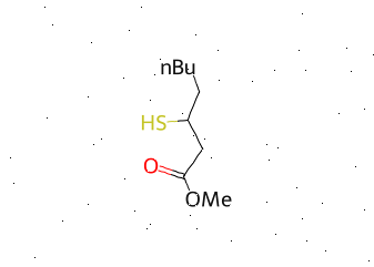 CCCCCC(S)CC(=O)OC